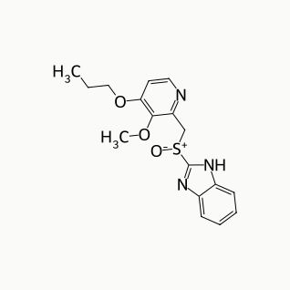 CCCOc1ccnc(C[S+]([O-])c2nc3ccccc3[nH]2)c1OC